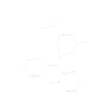 CN(C)c1cc(I)cc(N2c3ccccc3Sc3ccccc32)c1